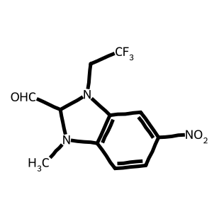 CN1c2ccc([N+](=O)[O-])cc2N(CC(F)(F)F)C1C=O